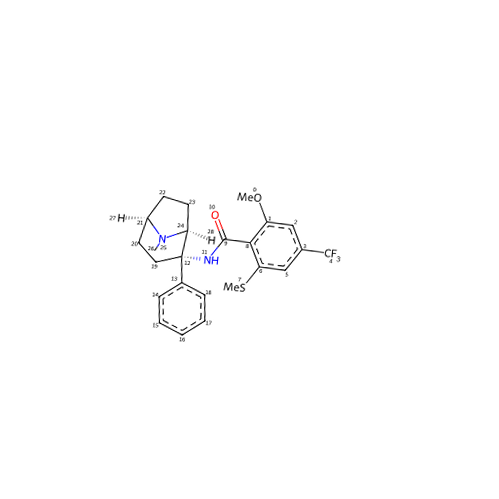 COc1cc(C(F)(F)F)cc(SC)c1C(=O)N[C@]1(c2ccccc2)CC[C@H]2CC[C@@H]1N2C